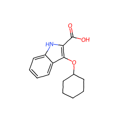 O=C(O)c1[nH]c2ccccc2c1OC1CCCCC1